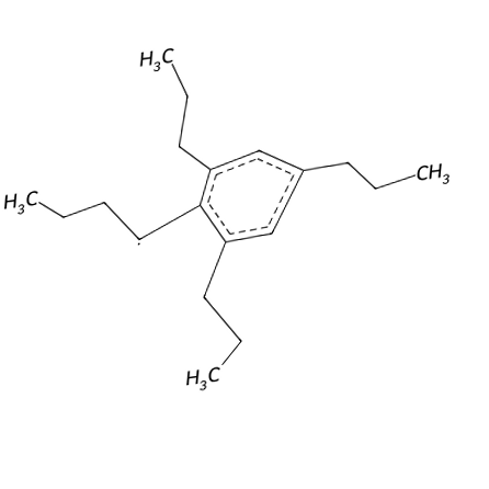 CCC[CH]c1c(CCC)cc(CCC)cc1CCC